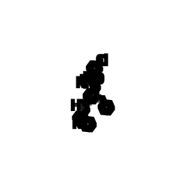 Clc1ccc(-n2cncn2)c(OCCN2CC[C@@H](NCc3ccnc4ccccc34)C[C@@H]2Cc2ccccc2)c1